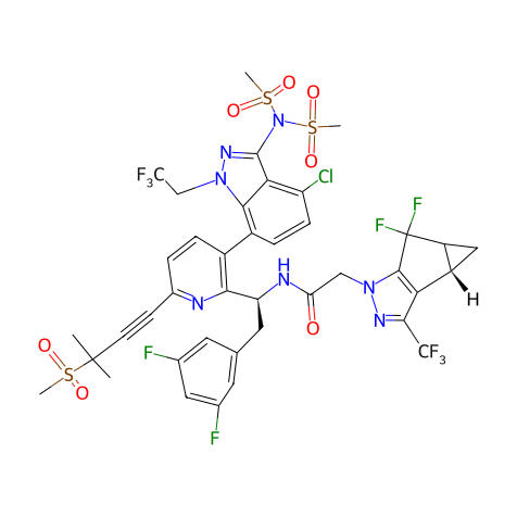 CC(C)(C#Cc1ccc(-c2ccc(Cl)c3c(N(S(C)(=O)=O)S(C)(=O)=O)nn(CC(F)(F)F)c23)c([C@H](Cc2cc(F)cc(F)c2)NC(=O)Cn2nc(C(F)(F)F)c3c2C(F)(F)C2C[C@H]32)n1)S(C)(=O)=O